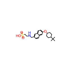 CC(C)(C)C1CCC(Oc2ccc3cc(CNCCS(=O)(=O)O)ccc3c2)CC1